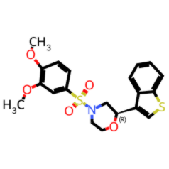 COc1ccc(S(=O)(=O)N2CCO[C@H](c3csc4ccccc34)C2)cc1OC